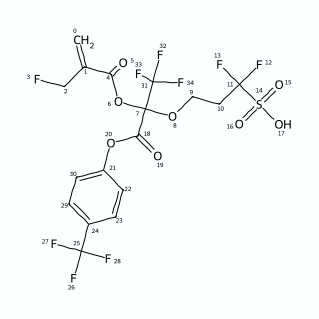 C=C(CF)C(=O)OC(OCCC(F)(F)S(=O)(=O)O)(C(=O)Oc1ccc(C(F)(F)F)cc1)C(F)(F)F